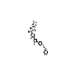 Cc1cc(NC(=O)Nc2cc(C(C)(C)C)on2)ccc1-c1cc(-c2ccc(OCCN3CCOCC3)cc2)[nH]n1